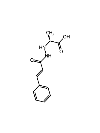 C[C@H](NNC(=O)C=Cc1ccccc1)C(=O)O